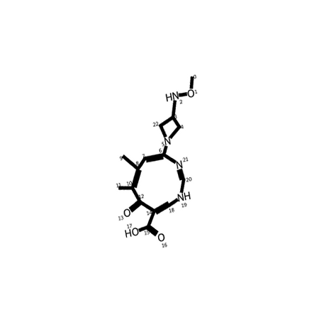 CONC1CN(c2cc(C)c(C)c(=O)c(C(=O)O)c[nH]cn2)C1